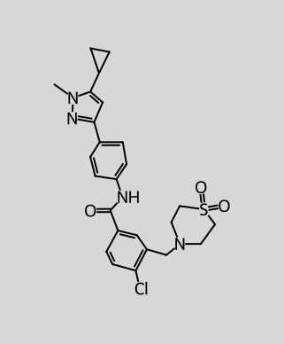 Cn1nc(-c2ccc(NC(=O)c3ccc(Cl)c(CN4CCS(=O)(=O)CC4)c3)cc2)cc1C1CC1